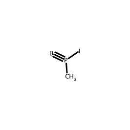 B#P(C)I